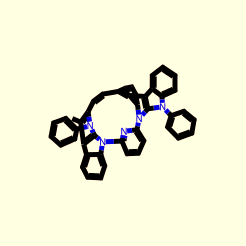 Cc1c2n(-c3ccccc3)c3c1c1ccccc1n3-c1cccc(n1)-n1c3cccc(c3c3c4ccccc4n(-c4ccccc4)c31)/C=C\2